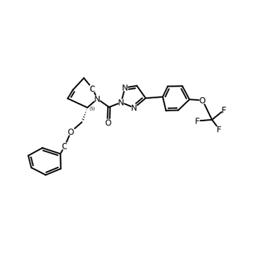 O=C(N1CCC=C[C@H]1COCc1ccccc1)n1ncc(-c2ccc(OC(F)(F)F)cc2)n1